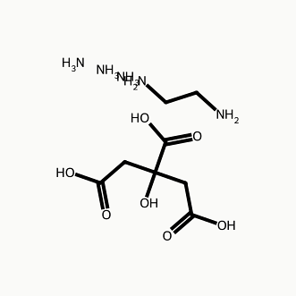 N.N.N.NCCN.O=C(O)CC(O)(CC(=O)O)C(=O)O